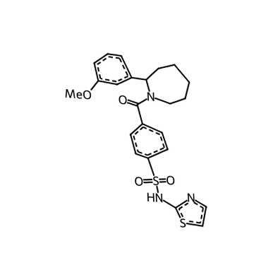 COc1cccc(C2CCCCCN2C(=O)c2ccc(S(=O)(=O)Nc3nccs3)cc2)c1